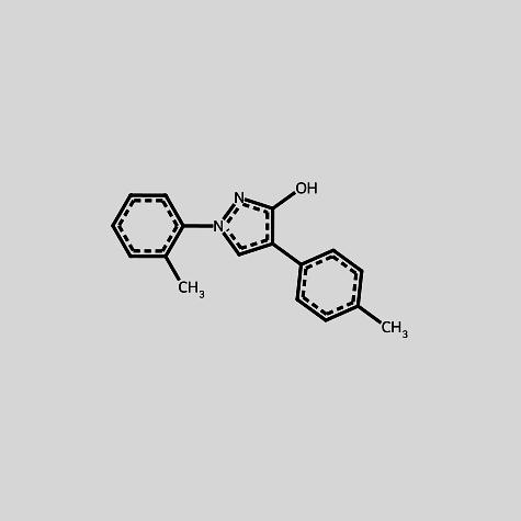 Cc1ccc(-c2cn(-c3ccccc3C)nc2O)cc1